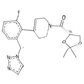 CC1(C)OC[C@@H](C(=O)N2CC=C(c3c(F)cccc3[CH]n3ccnn3)CC2)O1